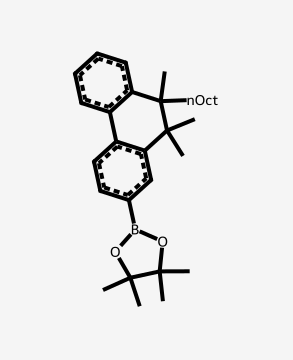 CCCCCCCCC1(C)c2ccccc2-c2ccc(B3OC(C)(C)C(C)(C)O3)cc2C1(C)C